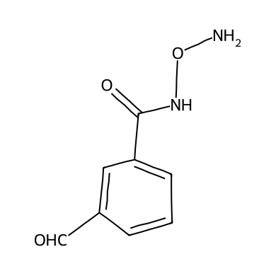 NONC(=O)c1cccc(C=O)c1